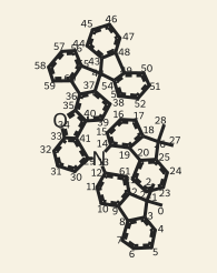 CC1(C)c2ccccc2-c2ccc(N(c3cccc4c3-c3ccccc3C4(C)C)c3cccc4oc5c6c(ccc5c34)C3(c4ccccc4-c4ccccc43)c3ccccc3-6)cc21